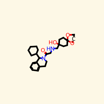 O=C(CNCC1(O)CCC2(CC1)OCCO2)N1CCc2ccccc2C1C1CCCCC1